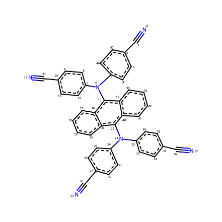 N#Cc1ccc(N(c2ccc(C#N)cc2)c2c3ccccc3c(N(c3ccc(C#N)cc3)c3ccc(C#N)cc3)c3ccccc23)cc1